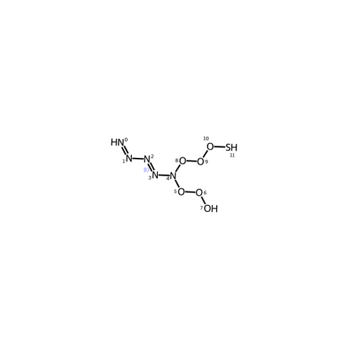 N=N/N=N/N(OOO)OOOS